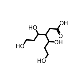 O=C(O)CC(C(O)CCO)C(O)CCO